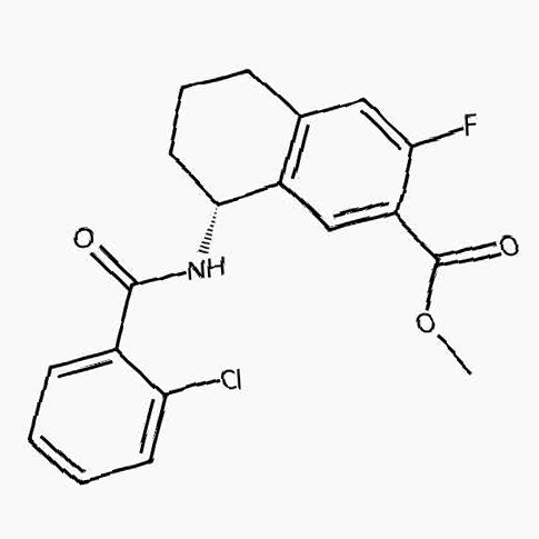 COC(=O)c1cc2c(cc1F)CCC[C@H]2NC(=O)c1ccccc1Cl